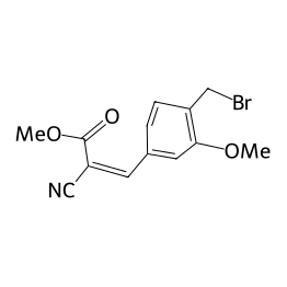 COC(=O)C(C#N)=Cc1ccc(CBr)c(OC)c1